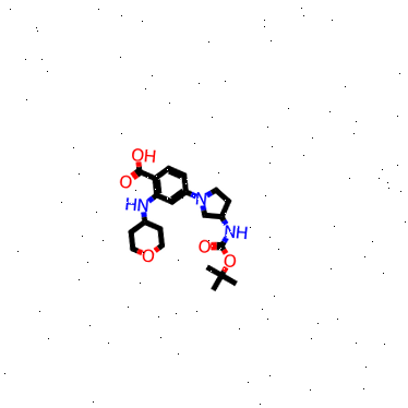 CC(C)(C)OC(=O)NC1CCN(c2ccc(C(=O)O)c(NC3CCOCC3)c2)C1